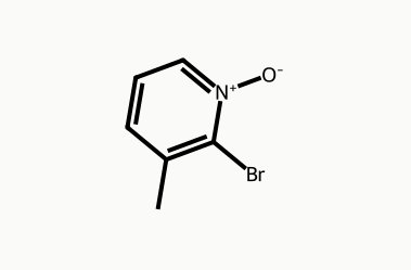 Cc1ccc[n+]([O-])c1Br